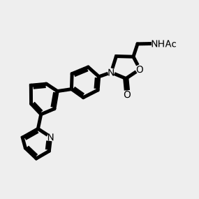 CC(=O)NCC1CN(c2ccc(-c3cccc(-c4ccccn4)c3)cc2)C(=O)O1